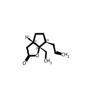 C=CC[C@@H]1CC[C@H]2CC(=O)O[C@@]12CC